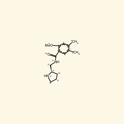 COc1cc(C)c(C)cc1C(=O)NC[C@H]1CCCN1